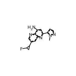 Cn1nccc1-c1cc(N)c2ncc(C3CC3F)cc2n1